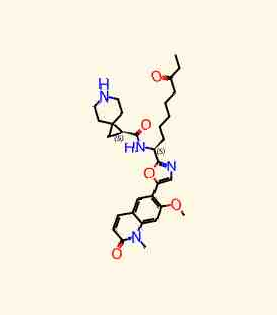 CCC(=O)CCCCC[C@H](NC(=O)[C@H]1CC12CCNCC2)c1ncc(-c2cc3ccc(=O)n(C)c3cc2OC)o1